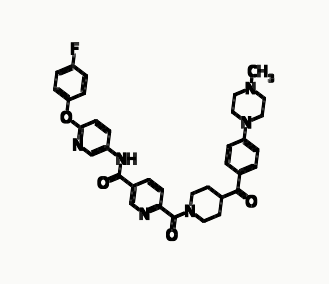 CN1CCN(c2ccc(C(=O)C3CCN(C(=O)c4ccc(C(=O)Nc5ccc(Oc6ccc(F)cc6)nc5)cn4)CC3)cc2)CC1